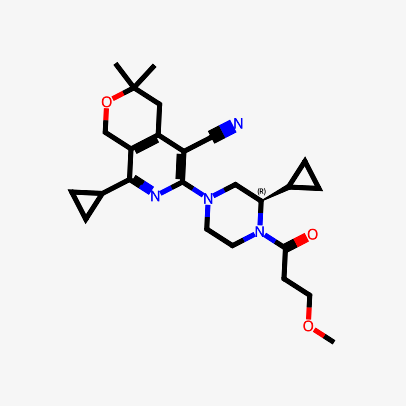 COCCC(=O)N1CCN(c2nc(C3CC3)c3c(c2C#N)CC(C)(C)OC3)C[C@H]1C1CC1